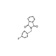 O=C1c2ccccc2C(=O)N1Cc1ccc(F)cc1